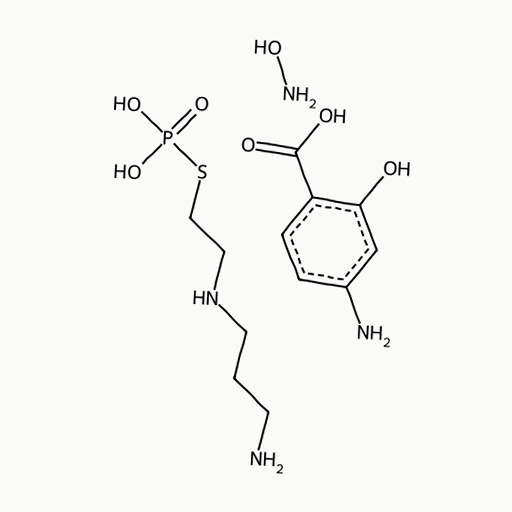 NCCCNCCSP(=O)(O)O.NO.Nc1ccc(C(=O)O)c(O)c1